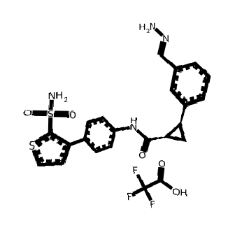 NN=Cc1cccc([C@H]2C[C@H]2C(=O)Nc2ccc(-c3ccsc3S(N)(=O)=O)cc2)c1.O=C(O)C(F)(F)F